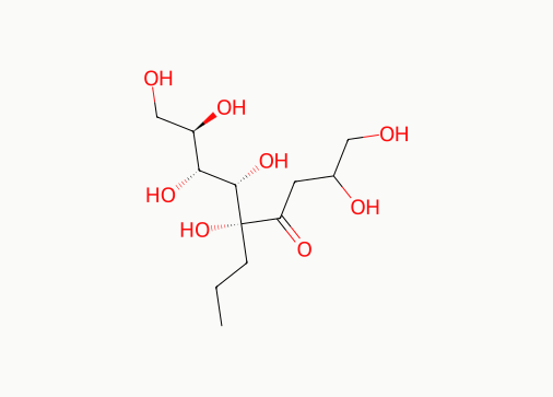 CCC[C@](O)(C(=O)CC(O)CO)[C@@H](O)[C@H](O)[C@H](O)CO